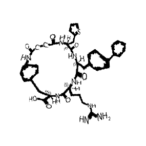 N=C(N)NCCC[C@@H]1NC(=O)[C@H](Cc2ccc(-c3ccccc3)cc2)NC(=O)[C@@H](Cc2cccs2)NC(=O)CCC(=O)Nc2ccc(cc2)C[C@@H](C(=O)O)NC1=O